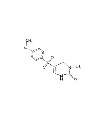 COc1ccc(S(=O)(=O)C2=CNC(=O)N(C)C2)cc1